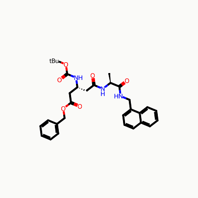 C[C@H](NC(=O)C[C@H](CC(=O)OCc1ccccc1)NC(=O)OC(C)(C)C)C(=O)NCc1cccc2ccccc12